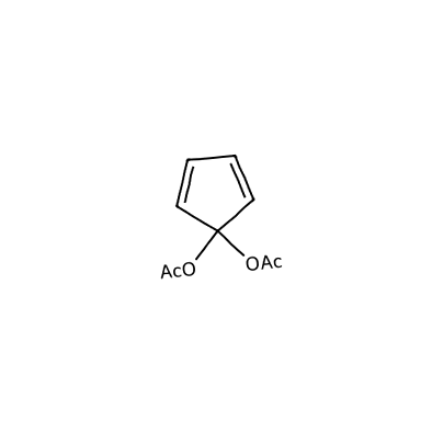 CC(=O)OC1(OC(C)=O)C=CC=C1